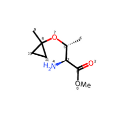 COC(=O)[C@@H](N)[C@@H](C)OC1(C)CC1